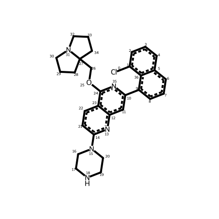 Clc1cccc2cccc(-c3cc4nc(N5CCNCC5)ccc4c(OCC45CCCN4CCC5)n3)c12